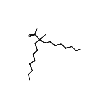 CCCCCCCCC(C)(CCCCCCCC)C(C)=O